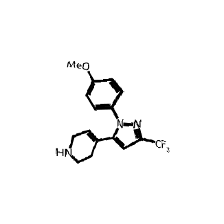 COc1ccc(-n2nc(C(F)(F)F)cc2C2=CCNCC2)cc1